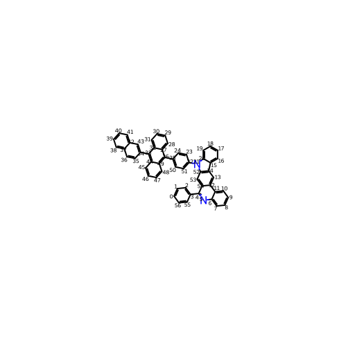 c1ccc(-c2nc3ccccc3c3cc4c5ccccc5n(-c5ccc(-c6c7ccccc7c(-c7ccc8ccccc8c7)c7ccccc67)cc5)c4cc23)cc1